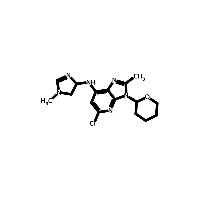 Cc1nc2c(NC3CN(C)C=N3)cc(Cl)nc2n1C1CCCCO1